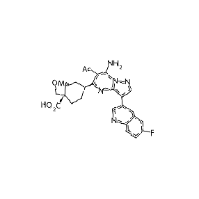 COC[C@]1(C(=O)O)CC[C@@H](c2nc3c(-c4cnc5ccc(F)cc5c4)cnn3c(N)c2C(C)=O)CC1